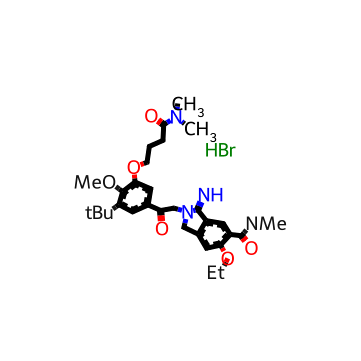 Br.CCOc1cc2c(cc1C(=O)NC)C(=N)N(CC(=O)c1cc(OCCCC(=O)N(C)C)c(OC)c(C(C)(C)C)c1)C2